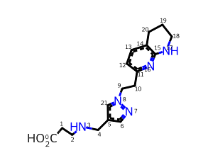 O=C(O)CCNCc1cnn(CCc2ccc3c(n2)NCCC3)c1